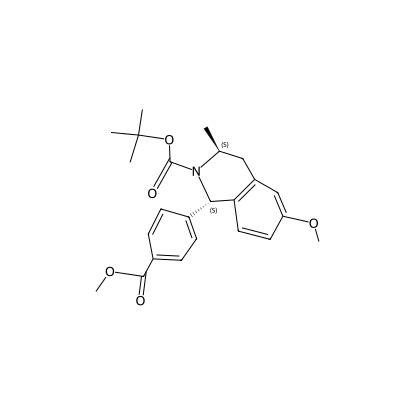 COC(=O)c1ccc([C@H]2c3ccc(OC)cc3C[C@H](C)N2C(=O)OC(C)(C)C)cc1